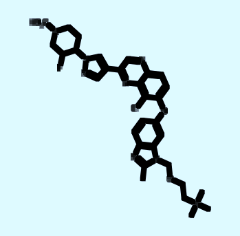 Cc1nc2ccc(Oc3ccc4ncc(-c5cnn(C6CCN(C(=O)O)CC6F)c5)nc4c3Cl)cc2n1COCC[Si](C)(C)C